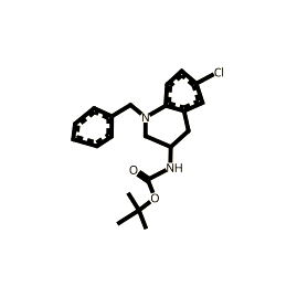 CC(C)(C)OC(=O)NC1Cc2cc(Cl)ccc2N(Cc2ccccc2)C1